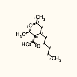 CCCCCC(CC(C)=O)C(CC)C(=O)O